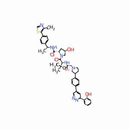 Cc1ncsc1-c1ccc([C@H](C)NC(=O)[C@@H]2C[C@@H](O)CN2C(=O)[C@@H](NC(=O)CN2CCC(c3ccc(-c4cnnc(-c5ccccc5O)c4)cc3)C2)C(C)(C)C)cc1